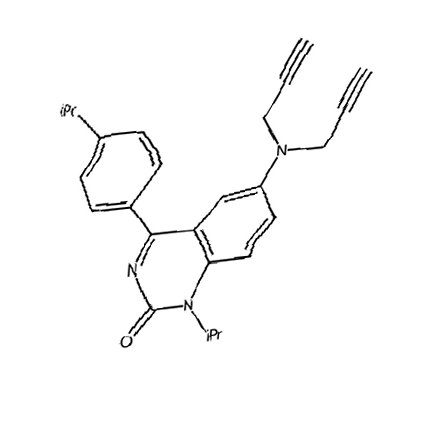 C#CCN(CC#C)c1ccc2c(c1)c(-c1ccc(C(C)C)cc1)nc(=O)n2C(C)C